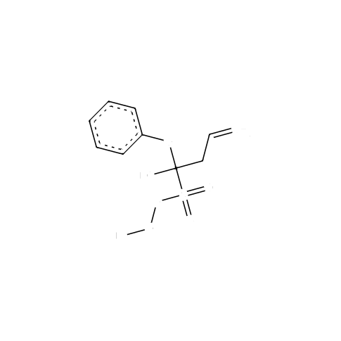 C=CCC(C)(Oc1ccccc1)S(=O)(=O)OOCC